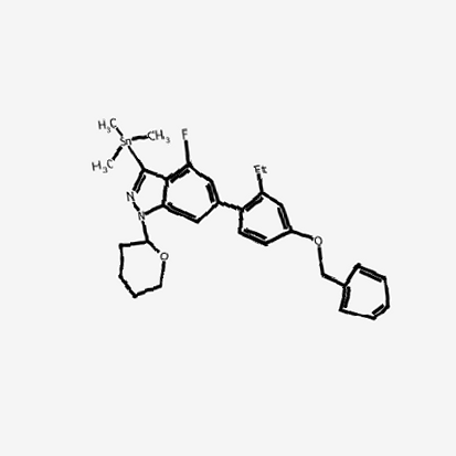 CCc1cc(OCc2ccccc2)ccc1-c1cc(F)c2[c]([Sn]([CH3])([CH3])[CH3])nn(C3CCCCO3)c2c1